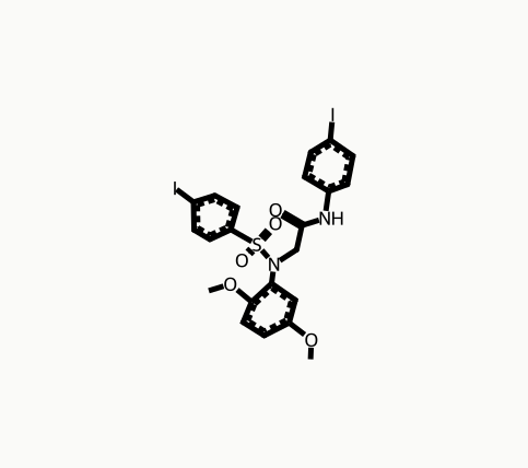 COc1ccc(OC)c(N(CC(=O)Nc2ccc(I)cc2)S(=O)(=O)c2ccc(I)cc2)c1